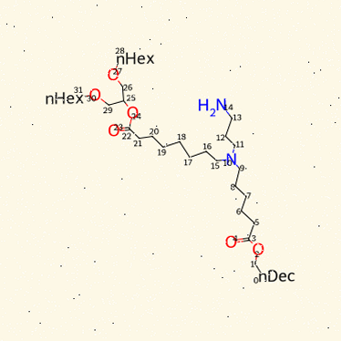 CCCCCCCCCCCOC(=O)CCCCCN(CCCN)CCCCCCCC(=O)OC(COCCCCCC)COCCCCCC